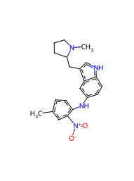 Cc1ccc(Nc2ccc3[nH]cc(CC4CCCN4C)c3c2)c([N+](=O)[O-])c1